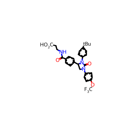 CC(C)(C)c1ccc(N2C(=O)N(c3ccc(OC(F)(F)F)cc3)CC2c2ccc(C(=O)NCCC(=O)O)cc2)cc1